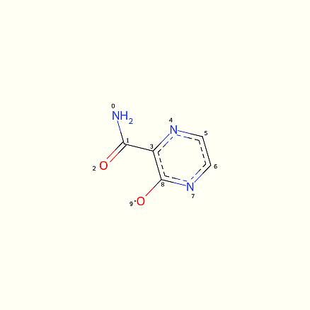 NC(=O)c1nccnc1[O]